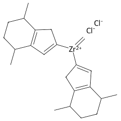 [CH2]=[Zr+2]([C]1=CC2=C(C1)C(C)CCC2C)[C]1=CC2=C(C1)C(C)CCC2C.[Cl-].[Cl-]